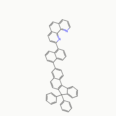 c1ccc(C2(c3ccccc3)c3ccccc3-c3c2ccc2cc(-c4cccc5c(-c6ccc7ccc8cccnc8c7n6)cccc45)ccc32)cc1